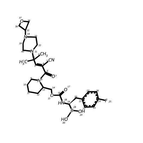 CC(C)(C=C(C#N)C(=O)N1CCCCC1COC(=O)N[C@@H](Cc1ccc(F)cc1)B(O)O)N1CCN(C2COC2)CC1